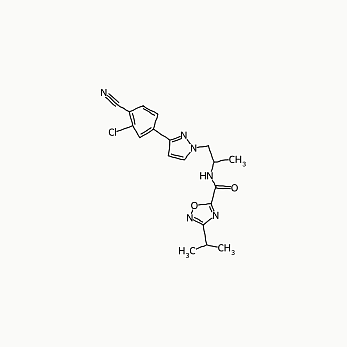 CC(Cn1ccc(-c2ccc(C#N)c(Cl)c2)n1)NC(=O)c1nc(C(C)C)no1